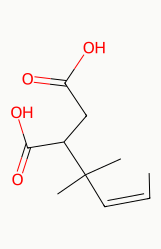 C/C=C\C(C)(C)C(CC(=O)O)C(=O)O